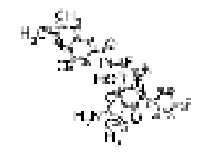 Cc1cc2cc(C(=O)NC[C@](O)(c3cc4c(c(-c5ccc(F)cc5)n3)OC[C@]4(C)C(N)=O)C(F)(F)F)cc(Cl)c2nc1C